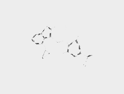 NC(=O)c1cc(F)c(OCc2c(C(=O)O)sc3cccc(C4CC4)c23)c(F)c1